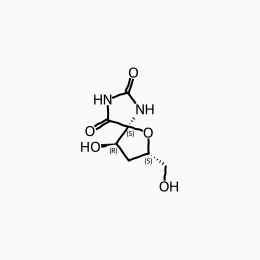 O=C1NC(=O)[C@@]2(N1)O[C@H](CO)C[C@H]2O